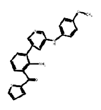 COc1ccc(Nc2cncc(-c3cccc(C(=O)c4cccs4)c3N)c2)cc1